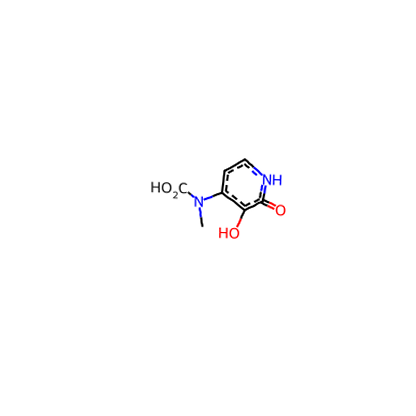 CN(C(=O)O)c1cc[nH]c(=O)c1O